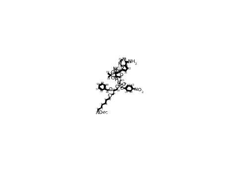 CCCCCCCCCCCCCCCCOC[C@H](COP(=O)(OC[C@H]1O[C@@](C#N)(c2ccc3c(N)ncnn23)[C@@H]2OC(C)(C)O[C@@H]21)Oc1ccc([N+](=O)[O-])cc1)OCc1ccccc1